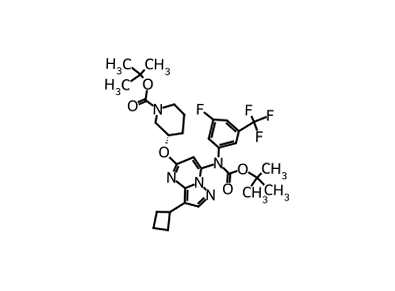 CC(C)(C)OC(=O)N1CCC[C@H](Oc2cc(N(C(=O)OC(C)(C)C)c3cc(F)cc(C(F)(F)F)c3)n3ncc(C4CCC4)c3n2)C1